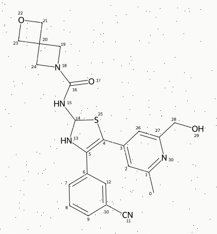 Cc1cc(C2=C(c3cccc(C#N)c3)NC(NC(=O)N3CC4(COC4)C3)S2)cc(CO)n1